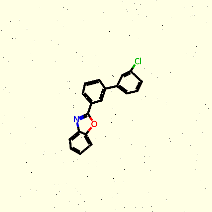 Clc1cccc(-c2cccc(-c3nc4ccccc4o3)c2)c1